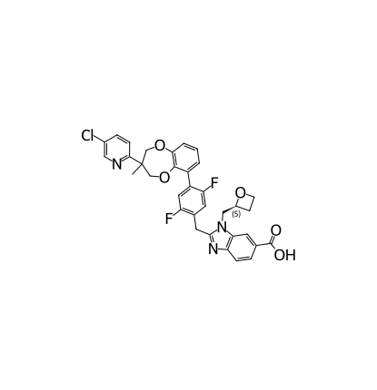 CC1(c2ccc(Cl)cn2)COc2cccc(-c3cc(F)c(Cc4nc5ccc(C(=O)O)cc5n4C[C@@H]4CCO4)cc3F)c2OC1